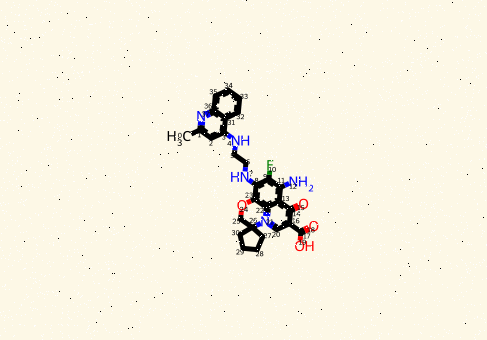 Cc1cc(NCCNc2c(F)c(N)c3c(=O)c(C(=O)O)cn4c3c2OCC42CCCC2)c2ccccc2n1